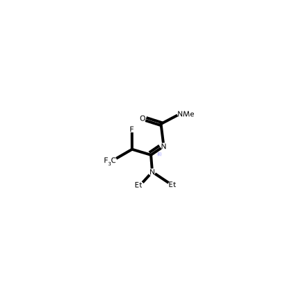 CCN(CC)/C(=N/C(=O)NC)C(F)C(F)(F)F